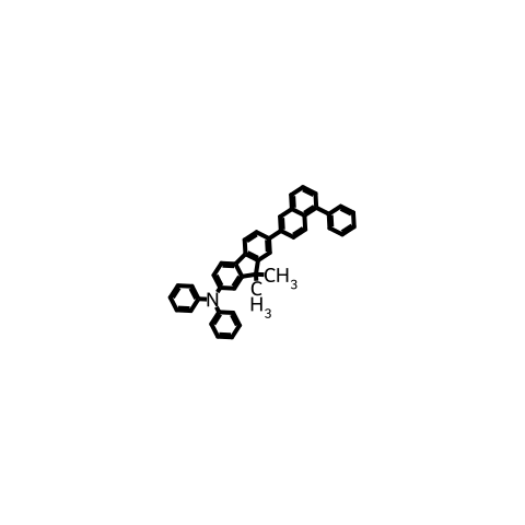 CC1(C)c2cc(-c3ccc4c(-c5ccccc5)cccc4c3)ccc2-c2ccc(N(c3ccccc3)c3ccccc3)cc21